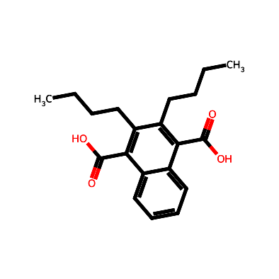 CCCCc1c(CCCC)c(C(=O)O)c2ccccc2c1C(=O)O